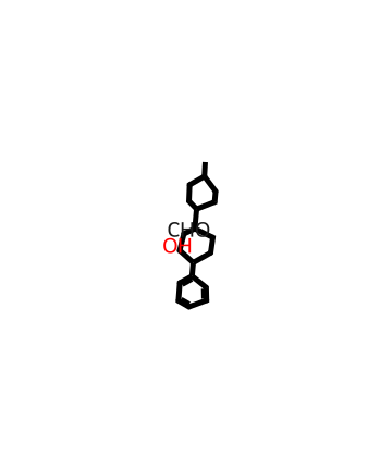 CC1CCC(C2CCC(c3ccccc3)CC2)CC1.O=CO